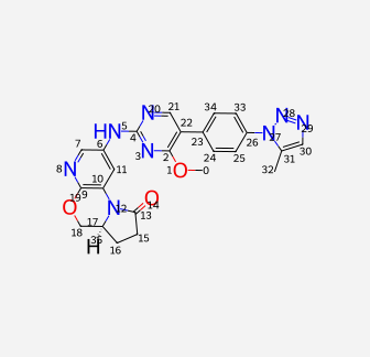 COc1nc(Nc2cnc3c(c2)N2C(=O)CC[C@H]2CO3)ncc1-c1ccc(-n2nncc2C)cc1